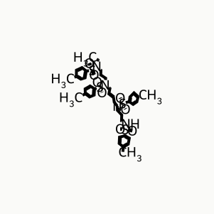 CCN(CCCN(CC=CCN(CCCNS(=O)(=O)c1ccc(C)cc1)S(=O)(=O)c1ccc(C)cc1)S(=O)(=O)c1ccc(C)cc1)S(=O)(=O)c1ccc(C)cc1